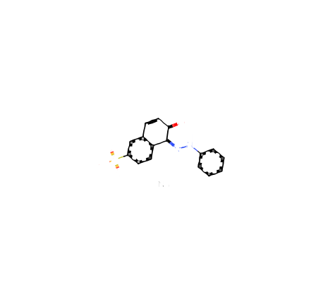 O=C1C=Cc2cc(S(=O)(=O)[O-])ccc2/C1=N/Nc1ccccc1.[Na+]